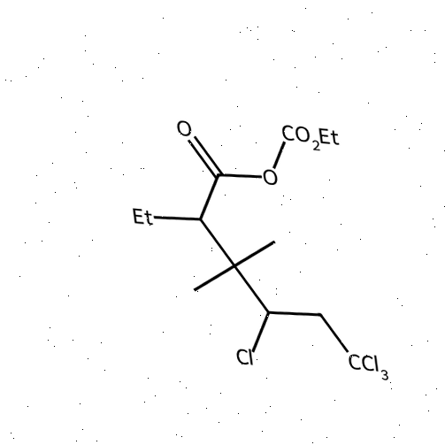 CCOC(=O)OC(=O)C(CC)C(C)(C)C(Cl)CC(Cl)(Cl)Cl